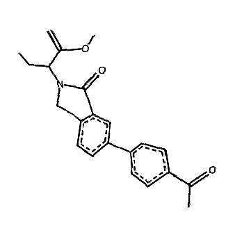 C=C(OC)C(CC)N1Cc2ccc(-c3ccc(C(C)=O)cc3)cc2C1=O